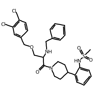 CS(=O)(=O)Nc1ccccc1C1CCN(C(=O)C(COCc2ccc(Cl)c(Cl)c2)NCc2ccccc2)CC1